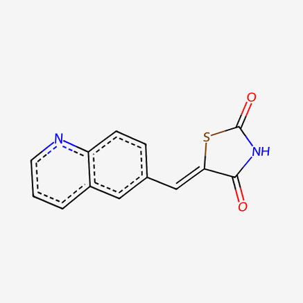 O=C1NC(=O)/C(=C/c2ccc3ncccc3c2)S1